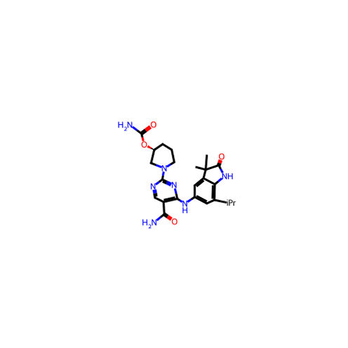 CC(C)c1cc(Nc2nc(N3CCC[C@H](OC(N)=O)C3)ncc2C(N)=O)cc2c1NC(=O)C2(C)C